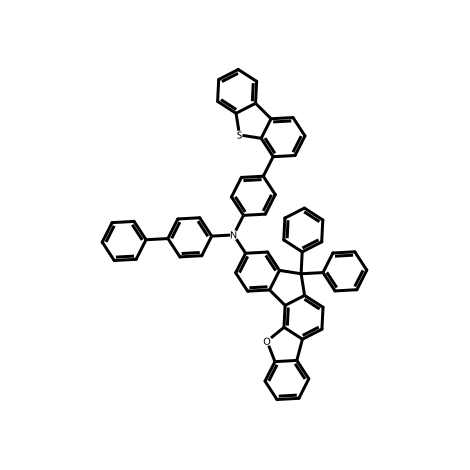 c1ccc(-c2ccc(N(c3ccc(-c4cccc5c4sc4ccccc45)cc3)c3ccc4c(c3)C(c3ccccc3)(c3ccccc3)c3ccc5c(oc6ccccc65)c3-4)cc2)cc1